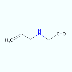 C=CCNC[C]=O